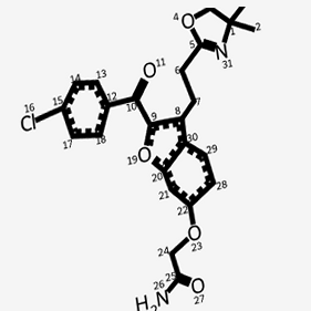 CC1(C)COC(CCc2c(C(=O)c3ccc(Cl)cc3)oc3cc(OCC(N)=O)ccc23)=N1